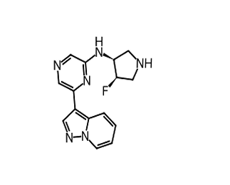 F[C@@H]1CNC[C@@H]1Nc1cncc(-c2cnn3ccccc23)n1